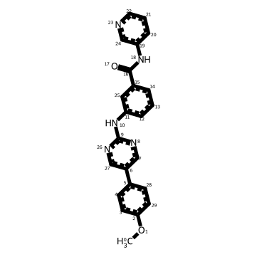 COc1ccc(-c2cnc(Nc3cccc(C(=O)Nc4cccnc4)c3)nc2)cc1